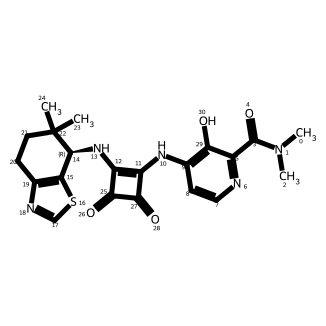 CN(C)C(=O)c1nccc(Nc2c(N[C@H]3c4scnc4CCC3(C)C)c(=O)c2=O)c1O